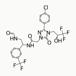 O=CNCC(NC(=O)Cn1nc(-c2ccc(Cl)cc2)n(C[C@H](O)C(F)(F)F)c1=O)c1cccc(C(F)(F)F)c1